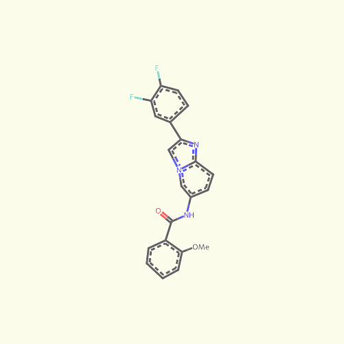 COc1ccccc1C(=O)Nc1ccc2nc(-c3ccc(F)c(F)c3)cn2c1